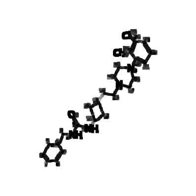 O=C(NCc1ccccc1)N[C@H]1C[C@@H](CCN2CCN(c3cccc(Cl)c3Cl)CC2)C1